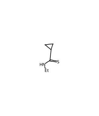 CCNC(=S)C1CC1